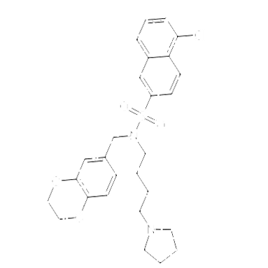 O=S(=O)(c1ccc2c(Cl)cccc2c1)N(CCCCN1CCCC1)Cc1ccc2c(c1)OCCO2